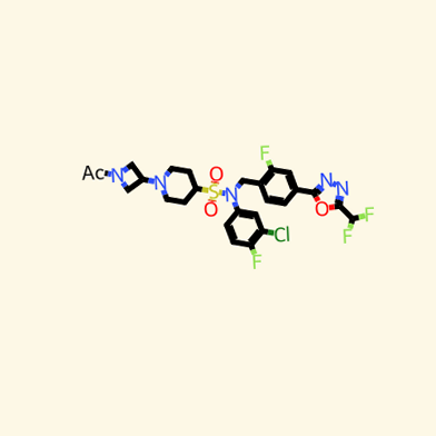 CC(=O)N1CC(N2CCC(S(=O)(=O)N(Cc3ccc(-c4nnc(C(F)F)o4)cc3F)c3ccc(F)c(Cl)c3)CC2)C1